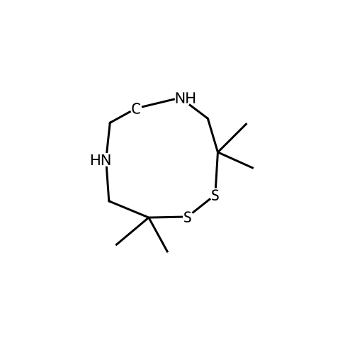 CC1(C)CNCCNCC(C)(C)SS1